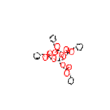 O=C(COCC(COCC(=O)OCc1ccccc1)(COCC(=O)OCc1ccccc1)COCC(=O)OCc1ccccc1)OCc1ccccc1